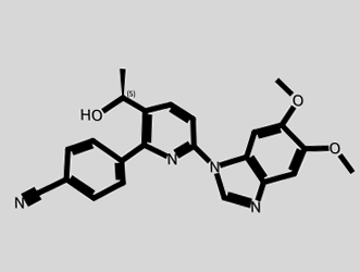 COc1cc2ncn(-c3ccc([C@H](C)O)c(-c4ccc(C#N)cc4)n3)c2cc1OC